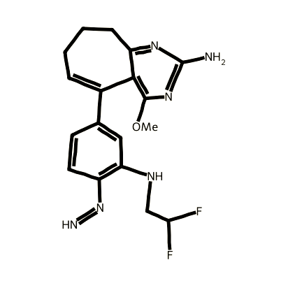 COc1nc(N)nc2c1C(c1ccc(N=N)c(NCC(F)F)c1)=CCCC2